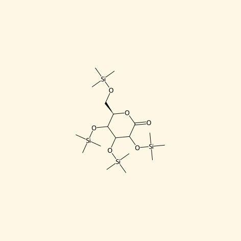 C[Si](C)(C)OC[C@H]1OC(=O)C(O[Si](C)(C)C)C(O[Si](C)(C)C)C1O[Si](C)(C)C